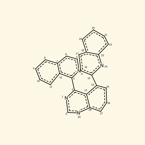 [c]1nc(-c2nccc3ccccc23)c2c(-c3ccc4ccccc4n3)cccc2n1